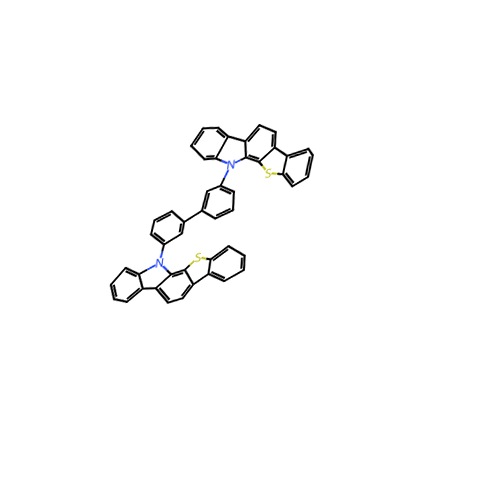 c1cc(-c2cccc(-n3c4ccccc4c4ccc5c6ccccc6sc5c43)c2)cc(-n2c3ccccc3c3ccc4c5ccccc5sc4c32)c1